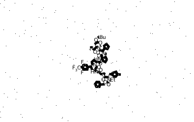 CCN(C(=O)OCc1ccccc1)[C@@H](Cc1ccc(C)cc1)C(=O)N(C)CC(=O)N[C@@H](CCc1cc(F)c(C(F)(F)F)c(F)c1)C(=O)N1CCC[C@H]1C(=O)NC1(C(=O)N(C)[C@H](C(=O)N(C)[C@@H](CC(=O)OC(C)(C)C)C(=O)N(C)C)C2CCCC2)CCCC1